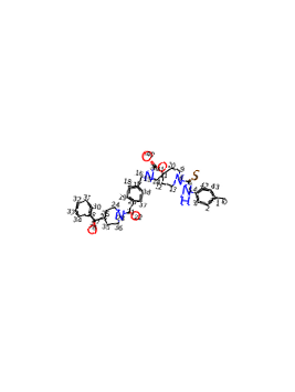 Cc1ccc(NC(=S)N2CCC3(CC2)CN(Cc2ccc(C(=O)N4CCC(C(=O)c5ccccc5)CC4)cc2)C(=O)O3)cc1